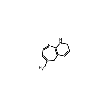 CC1=CC=NC2=C(C=CCN2)C1